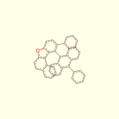 c1ccc(-c2ccc3oc4ccc5ccccc5c4c3c2-c2c3ccccc3c(-c3ccccc3)c3ccccc23)cc1